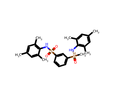 Cc1cc(C)c(NS(=O)(=O)c2cccc([SH](C)(=O)Nc3c(C)cc(C)cc3C)c2)c(C)c1